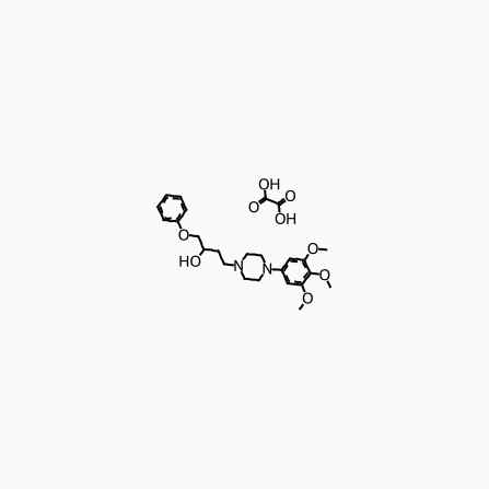 COc1cc(N2CCN(CCC(O)COc3ccccc3)CC2)cc(OC)c1OC.O=C(O)C(=O)O